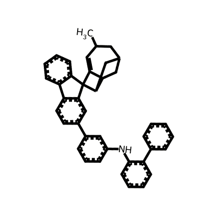 CC1C=C2C3CC(C1)CC3C21c2ccccc2-c2ccc(-c3cccc(Nc4ccccc4-c4ccccc4)c3)cc21